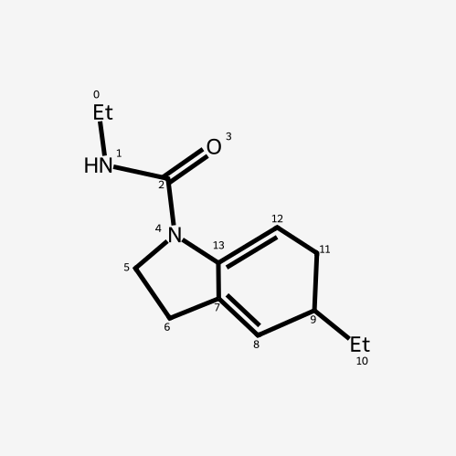 CCNC(=O)N1CCC2=CC(CC)CC=C21